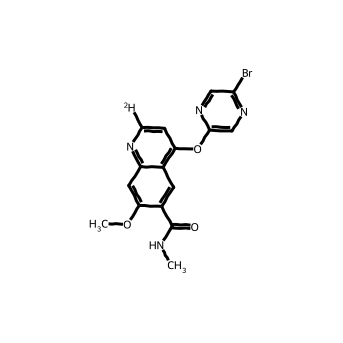 [2H]c1cc(Oc2cnc(Br)cn2)c2cc(C(=O)NC)c(OC)cc2n1